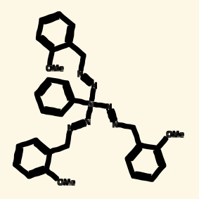 COc1ccccc1CN=N[Si](N=NCc1ccccc1OC)(N=NCc1ccccc1OC)c1ccccc1